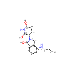 CC(C)(C)CCNc1cccc2c1CN(C1CCC(=O)NC1=O)C2=O